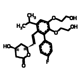 CC(C)c1cc(OCCO)c(OCCO)c(-c2ccc(F)cc2)c1C=C[C@H]1C[C@H](O)CC(=O)O1